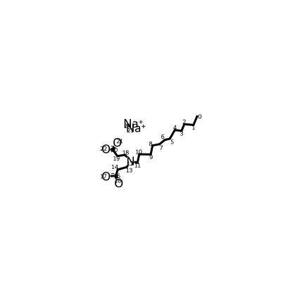 CCCCCCCCCCCCN(CCC(=O)[O-])CCC(=O)[O-].[Na+].[Na+]